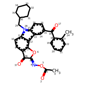 CC(=O)O/N=C1\Oc2c(ccc3c2c2cc(C(=O)c4ccccc4C)ccc2n3CC2CCCCC2)C1=O